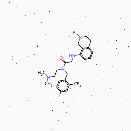 CCN1CCc2cccc(NCC(=O)N(CCN(C)C)Cc3ccc(F)cc3C(F)(F)F)c2C1